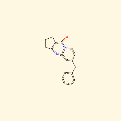 O=c1c2c(nc3cc(Cc4ccccc4)ccn13)CCC2